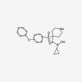 O=C(N(O)C1CC1)C1(S(=O)(=O)c2ccc(Sc3ccccc3)cc2)CCNCC1